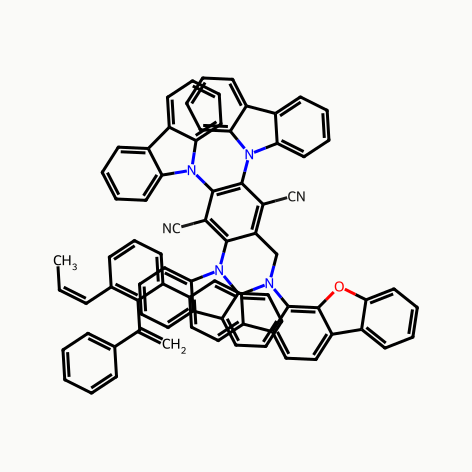 C=C(c1ccccc1)c1c(/C=C\C)cccc1-c1ccc2c3ccc4c5ccccc5oc4c3n(Cc3c(C#N)c(-n4c5ccccc5c5ccccc54)c(-n4c5ccccc5c5ccccc54)c(C#N)c3-n3c4ccccc4c4ccccc43)c2c1